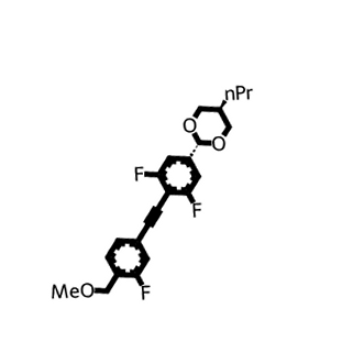 CCC[C@H]1CO[C@H](c2cc(F)c(C#Cc3ccc(COC)c(F)c3)c(F)c2)OC1